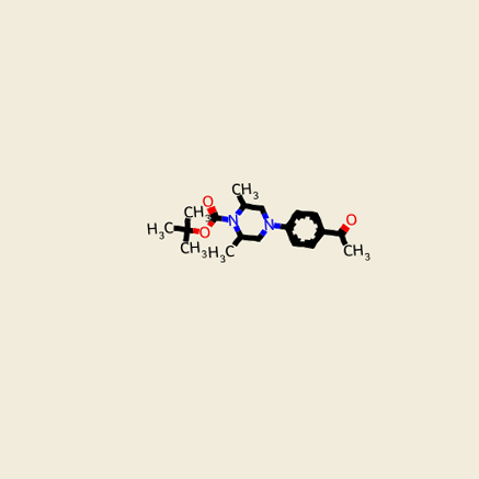 CC(=O)c1ccc(N2CC(C)N(C(=O)OC(C)(C)C)C(C)C2)cc1